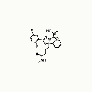 CNC(=N)CCCC1(c2ccccc2)SC(c2cc(F)ccc2F)=NN1C(=O)[C@H](C)O